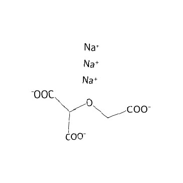 O=C([O-])COC(C(=O)[O-])C(=O)[O-].[Na+].[Na+].[Na+]